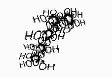 OC[C@H]1O[C@@H](O[C@H]2[C@@H](O)[C@@H](CO)O[C@@H](O[C@H]3[C@@H](O)[C@@H](CO)O[C@@H](O[C@H]4[C@@H](O)[C@@H](CO)O[C@@H](O[C@H]5[C@H](O)[C@@H](O)C(O)O[C@@H]5CO)[C@@H]4O)[C@@H]3O)[C@@H]2O)[C@H](O)[C@@H](O)[C@H]1O